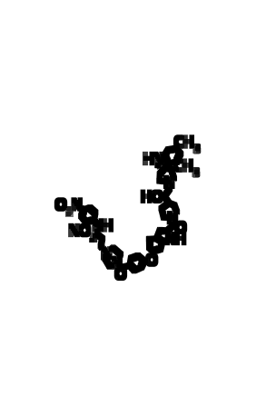 Cc1ccc2c(c1)NC[C@]21CCN(C[C@@H](O)C2CCN(C(=O)c3cc4ccc(Oc5ccc(C(=O)N6CCN(CCCNc7ccc([N+](=O)[O-])cc7[N+](=O)[O-])CC6)cc5)cc4[nH]3)CC2)C[C@H]1C